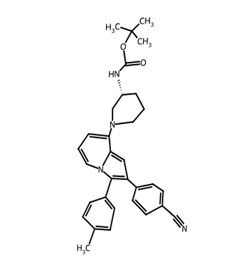 Cc1ccc(-c2c(-c3ccc(C#N)cc3)cc3c(N4CCC[C@@H](NC(=O)OC(C)(C)C)C4)cccn23)cc1